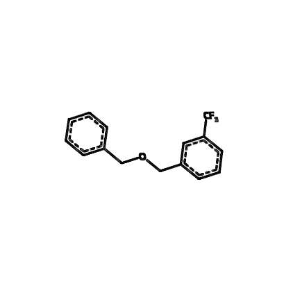 FC(F)(F)c1cccc(COCc2ccccc2)c1